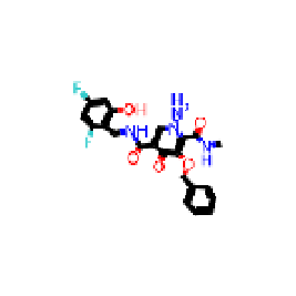 CNC(=O)c1c(OCc2ccccc2)c(=O)c(C(=O)NCc2c(O)cc(F)cc2F)cn1N